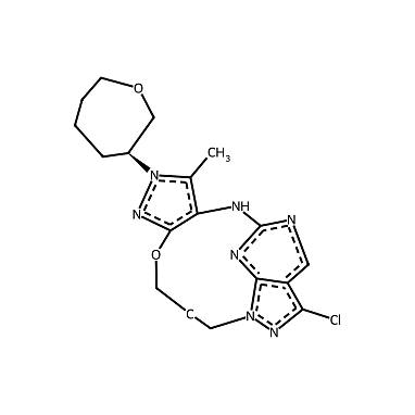 Cc1c2c(nn1[C@H]1CCCCOC1)OCCCn1nc(Cl)c3cnc(nc31)N2